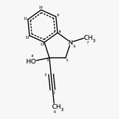 CC#CC1(O)CN(C)c2ccccc21